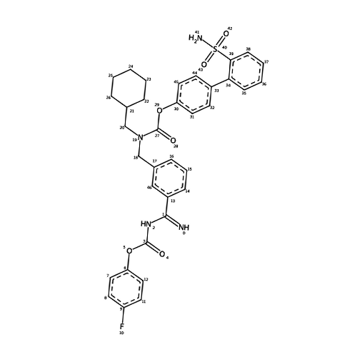 N=C(NC(=O)Oc1ccc(F)cc1)c1cccc(CN(CC2CCCCC2)C(=O)Oc2ccc(-c3ccccc3S(N)(=O)=O)cc2)c1